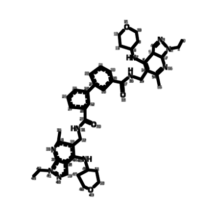 CCN1N=CC2C(NC3CCOCC3)=C(CNC(=O)c3cccc(-c4cccc(C(=O)NCc5c(C)nc6c(cnn6CC)c5NC5CCOCC5)c4)c3)C(C)=NC21